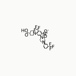 O=C(O)C1CCN(c2cc(N3CCN(c4cccc(C(F)(F)F)c4)CC3)c([N+](=O)[O-])cc2C(F)(F)F)CC1